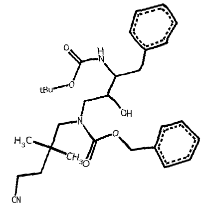 CC(C)(CCC#N)CN(CC(O)C(Cc1ccccc1)NC(=O)OC(C)(C)C)C(=O)OCc1ccccc1